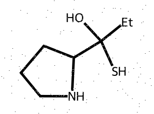 CCC(O)(S)C1CCCN1